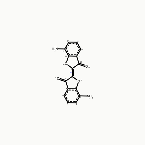 Nc1cccc2c1O/C(=C1/Oc3c(N)cccc3C1=O)C2=O